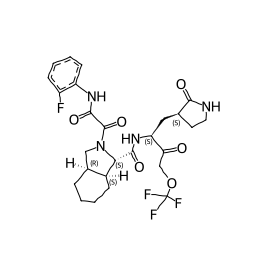 O=C(Nc1ccccc1F)C(=O)N1C[C@@H]2CCCC[C@@H]2[C@H]1C(=O)N[C@@H](C[C@@H]1CCNC1=O)C(=O)COC(F)(F)F